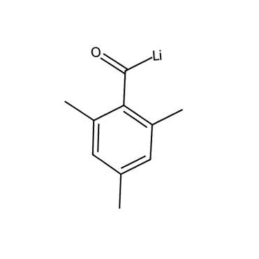 [Li][C](=O)c1c(C)cc(C)cc1C